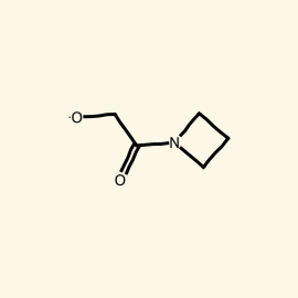 [O]CC(=O)N1CCC1